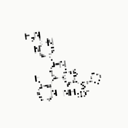 Nc1ncc(-c2cc(-c3ncccc3F)c3c(N)c([S+]([O-])C4CCC4)sc3n2)cn1